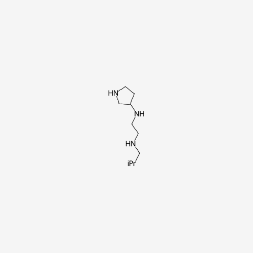 CC(C)CNCCNC1CCNC1